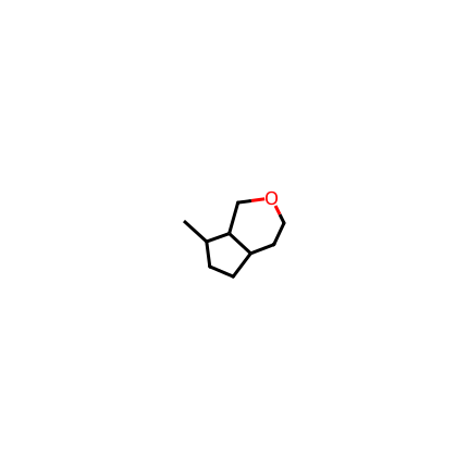 CC1CCC2CCOCC12